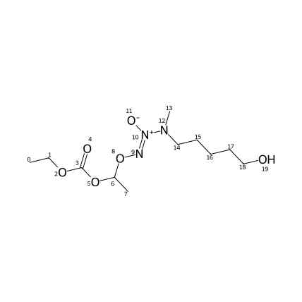 CCOC(=O)OC(C)ON=[N+]([O-])N(C)CCCCCO